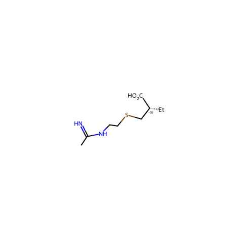 CC[C@H](CSCCNC(C)=N)C(=O)O